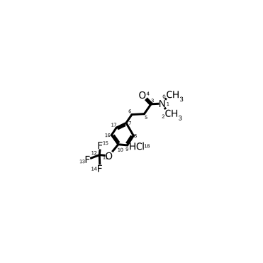 CN(C)C(=O)CCc1ccc(OC(F)(F)F)cc1.Cl